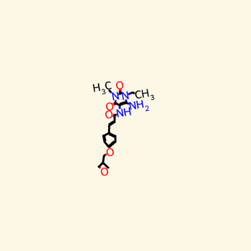 CCn1c(N)c(NC(=O)/C=C/c2ccc(OCC3COC3)cc2)c(=O)n(CC)c1=O